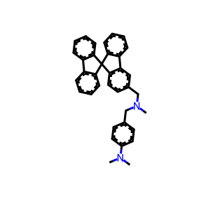 CN(Cc1ccc(N(C)C)cc1)Cc1ccc2c(c1)-c1ccccc1C21c2ccccc2-c2ccccc21